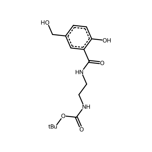 CC(C)(C)OC(=O)NCCNC(=O)c1cc(CO)ccc1O